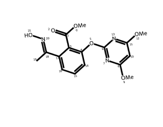 COC(=O)c1c(Oc2nc(OC)cc(OC)n2)cccc1C(C)=NO